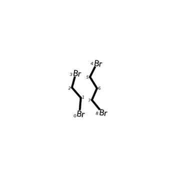 BrCCBr.BrCCCBr